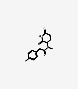 Cc1ccc(CC(=O)N(C)C2CCC(=O)NC2=O)cc1